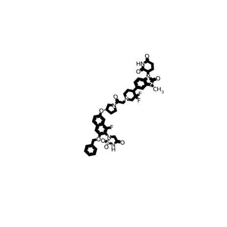 Cn1c(=O)n(C2CCC(=O)NC2=O)c2ccc(C3CCN(CC(=O)N4CC[C@H](Oc5ccc6cc(OCc7ccccc7)c(N7CC(=O)NS7(=O)=O)c(F)c6c5)C4)CC3(F)F)cc21